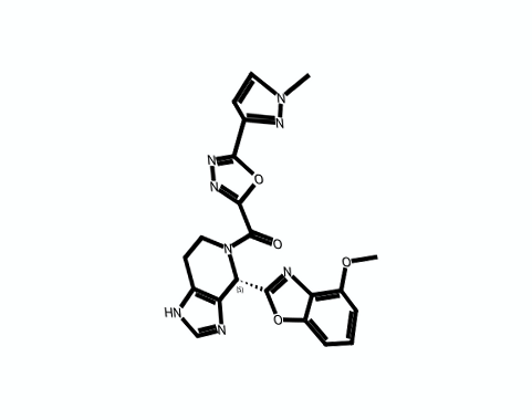 COc1cccc2oc([C@@H]3c4nc[nH]c4CCN3C(=O)c3nnc(-c4ccn(C)n4)o3)nc12